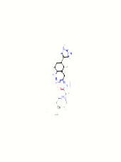 Cn1cc(-c2ccc3nnc(NC(=O)CN4CCC(C(F)(F)F)CC4)cc3c2)cn1